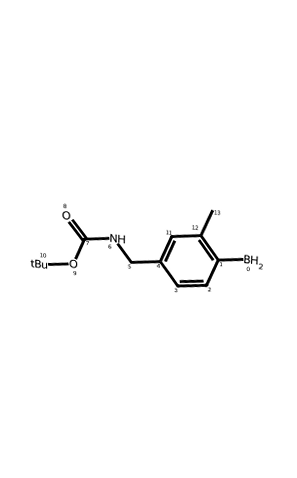 Bc1ccc(CNC(=O)OC(C)(C)C)cc1C